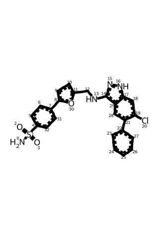 NS(=O)(=O)c1ccc(-c2ccc(CNc3n[nH]c4cc(Cl)c(-c5ccccc5)cc34)o2)cc1